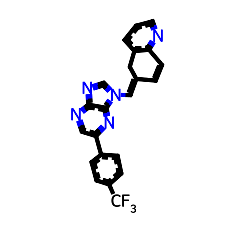 FC(F)(F)c1ccc(-c2cnc3ncn(C=C4C=Cc5ncccc5C4)c3n2)cc1